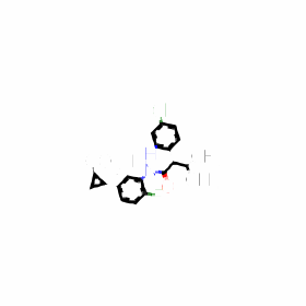 C[C@H]([C@H](C(=O)Nc1cc([C@@H]2C[C@H]2C(=O)O)ccc1F)c1ccc(Cl)cc1)C(F)(F)F